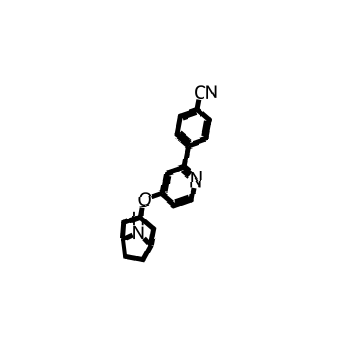 N#Cc1ccc(-c2cc(OC3CC4CCC(C3)N4)ccn2)cc1